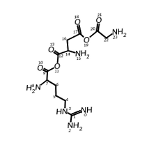 N=C(N)NCCCC(N)C(=O)OC(=O)C(N)CC(=O)OC(=O)CN